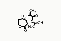 C=C(C)C(=O)OC(C)O.O=C1CCCCCO1